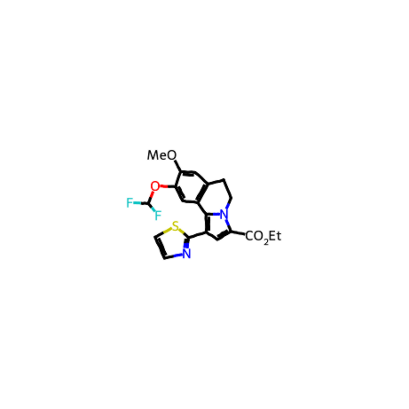 CCOC(=O)c1cc(-c2nccs2)c2n1CCc1cc(OC)c(OC(F)F)cc1-2